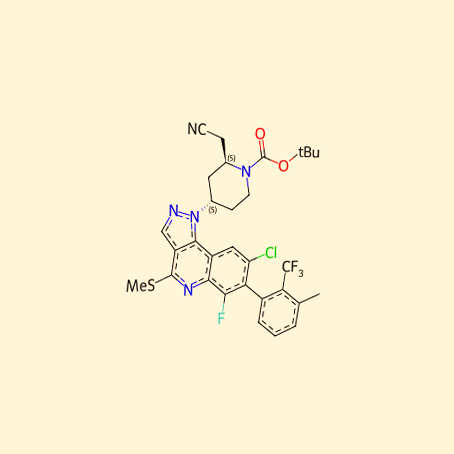 CSc1nc2c(F)c(-c3cccc(C)c3C(F)(F)F)c(Cl)cc2c2c1cnn2[C@H]1CCN(C(=O)OC(C)(C)C)[C@H](CC#N)C1